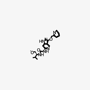 COC[C@@H](NC(=O)Nc1cc2[nH]nc(OCc3ccccn3)c2cn1)C(C)C